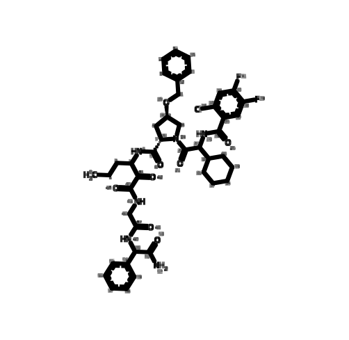 CCCC(NC(=O)[C@@H]1C[C@@H](OCc2ccccc2)CN1C(=O)C(NC(=O)c1cc(F)c(F)cc1Cl)C1CCCCC1)C(=O)C(=O)NCC(=O)NC(C(N)=O)c1ccccc1